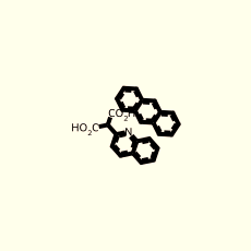 O=C(O)C(C(=O)O)c1ccc2ccccc2n1.c1ccc2cc3ccccc3cc2c1